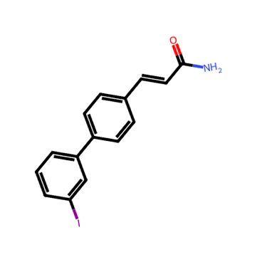 NC(=O)C=Cc1ccc(-c2cccc(I)c2)cc1